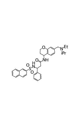 CCN(Cc1ccc2c(c1)OCCC2NC(=O)CC(NS(=O)(=O)c1ccc2ccccc2c1)c1ccccc1)C(C)C